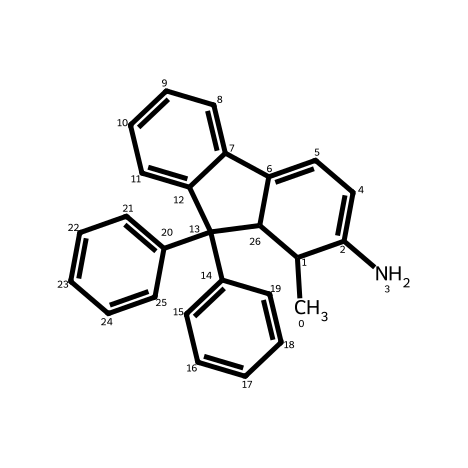 CC1C(N)=CC=C2c3ccccc3C(c3ccccc3)(c3ccccc3)C21